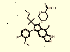 COCC(C)(C)c1c([C@H]2CCC(C(=O)O)OC2)c2c(F)c3[nH]ncc3cc2n1-c1ccc(F)c(OC)c1